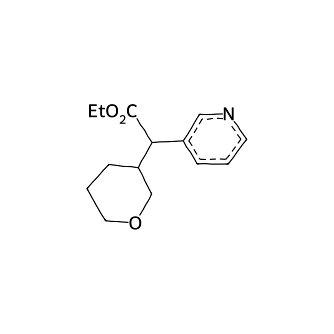 CCOC(=O)C(c1cccnc1)C1CCCOC1